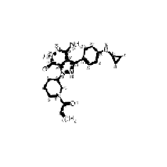 C=CC(=O)N1CCCC(n2nc(C3=CC=C(OC4CC4)CC3)c3c(N)n[nH]c(=O)c32)C1